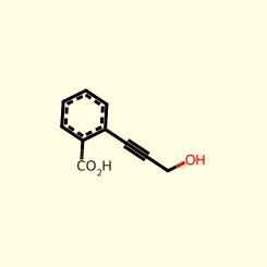 O=C(O)c1ccccc1C#CCO